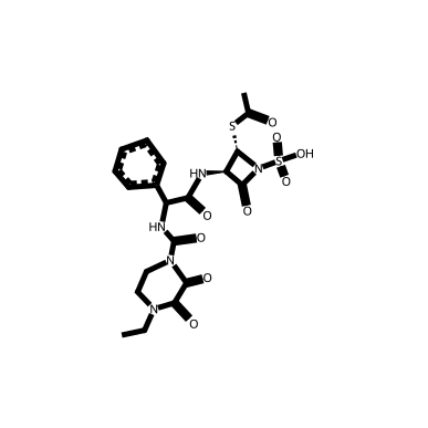 CCN1CCN(C(=O)NC(C(=O)N[C@@H]2C(=O)N(S(=O)(=O)O)[C@H]2SC(C)=O)c2ccccc2)C(=O)C1=O